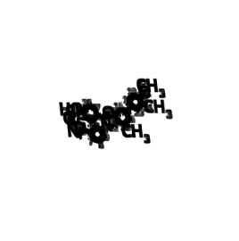 COc1ncc(-c2cccc(N(C[C@@H]3CC[C@@H](c4ccc(OC)c(C)c4)CC3C)C(=O)[C@H]3CC[C@H](O)CC3)c2)s1